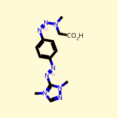 CN(CC(=O)O)/N=N\c1ccc(/N=N/c2n(C)nc[n+]2C)cc1